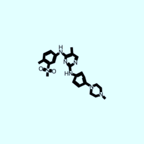 Cc1ccc(Nc2nc(Nc3ccc(N4CCN(C)CC4)cc3)ncc2C)cc1S(C)(=O)=O